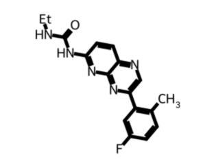 CCNC(=O)Nc1ccc2ncc(-c3cc(F)ccc3C)nc2n1